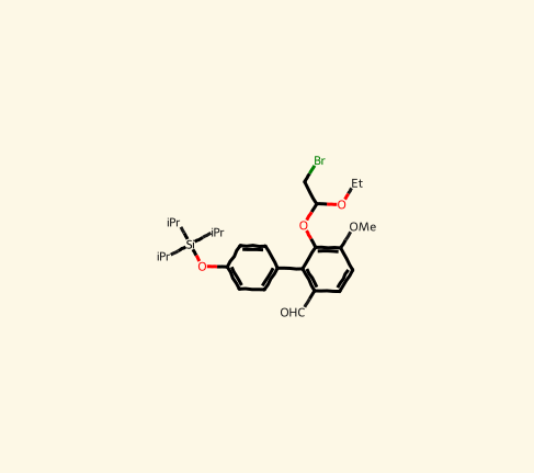 CCOC(CBr)Oc1c(OC)ccc(C=O)c1-c1ccc(O[Si](C(C)C)(C(C)C)C(C)C)cc1